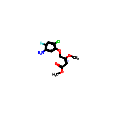 COC(=O)/C=C(\COc1cc(N)c(F)cc1Cl)OC